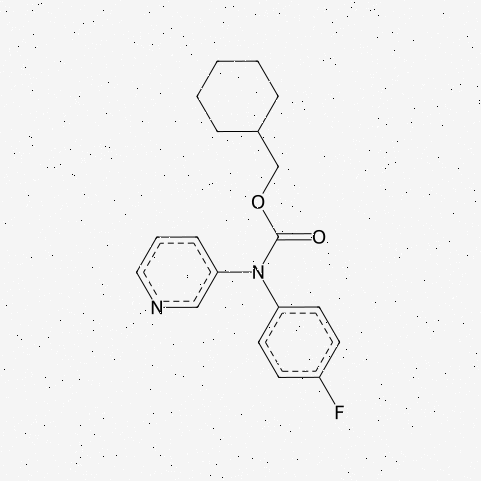 O=C(OCC1CCCCC1)N(c1ccc(F)cc1)c1cccnc1